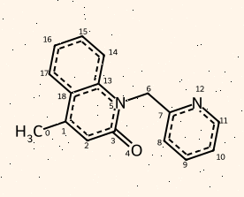 Cc1cc(=O)n(Cc2ccccn2)c2ccccc12